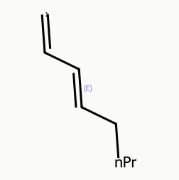 [C]=C/C=C/CCCC